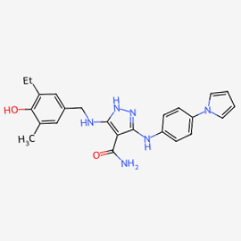 CCc1cc(CNc2[nH]nc(Nc3ccc(-n4cccc4)cc3)c2C(N)=O)cc(C)c1O